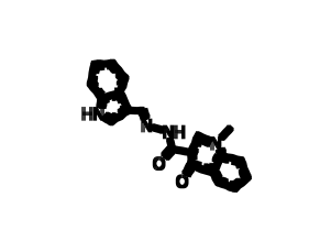 Cn1cc(C(=O)NN=Cc2c[nH]c3ccccc23)c(=O)c2ccccc21